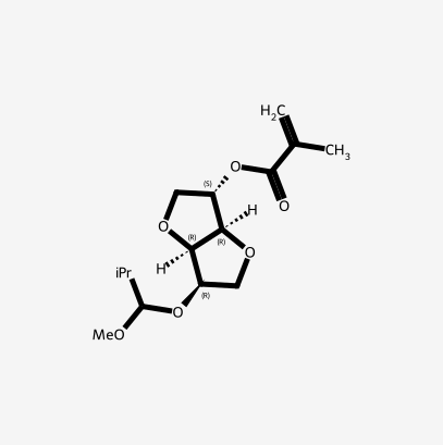 C=C(C)C(=O)O[C@H]1CO[C@H]2[C@@H]1OC[C@H]2OC(OC)C(C)C